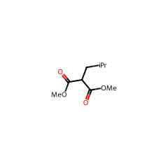 COC(=O)C(CC(C)C)C(=O)OC